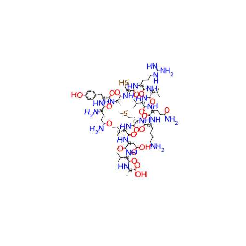 CC[C@H](C)[C@H](NC(=O)[C@H](CCSC)NC(=O)[C@H](CCCCN)NC(=O)[C@H](CCC(N)=O)NC(=O)[C@@H](NC(=O)[C@@H](NC(=O)[C@H](CCCNC(=N)N)NC(=O)[C@H](CS)NC(=O)[C@H](C)NC(=O)[C@H](Cc1ccc(O)cc1)NC(=O)[C@@H](N)CCC(N)=O)C(C)C)C(C)C)C(=O)N[C@@H](CC(=O)O)C(=O)N[C@H](C(=O)N[C@@H](C)C(=O)O)C(C)C